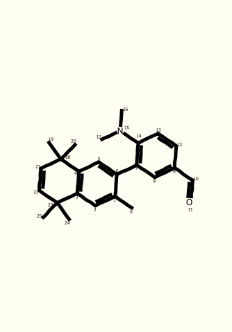 Cc1cc2c(cc1-c1cc(C=O)ccc1N(C)C)C(C)(C)C=CC2(C)C